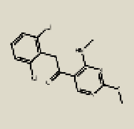 CNc1nc(SC)ncc1C(=O)Cc1c(Cl)cccc1Cl